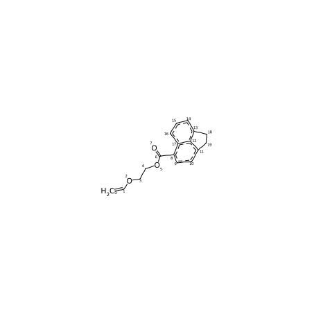 C=COCCOC(=O)c1ccc2c3c(cccc13)CC2